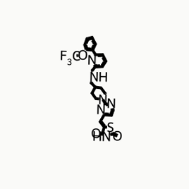 O=C1NC(=O)/C(=C/c2ccnc(N3CCC(CNCc4cccc(-c5ccccc5OC(F)(F)F)n4)CC3)n2)S1